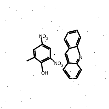 Cc1cc([N+](=O)[O-])cc([N+](=O)[O-])c1O.c1ccc2nc3ccccc3cc2c1